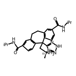 CC(C)NC(=O)c1ccc2c(c1)CCc1cc(C(=O)NC(C)C)ccc1C2(C[C@H](C)N)c1nn[nH]n1